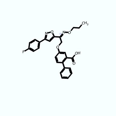 CCCO/N=C(\COc1ccc(-c2ccccc2)c(C(=O)O)c1)c1cc(-c2ccc(F)cc2)no1